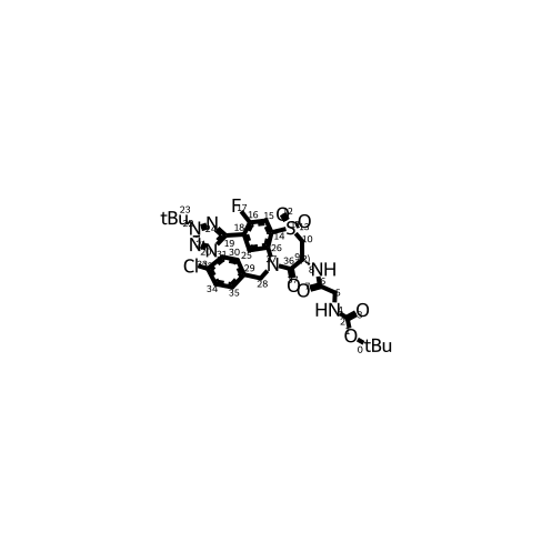 CC(C)(C)OC(=O)NCC(=O)N[C@H]1CS(=O)(=O)c2cc(F)c(-c3nnn(C(C)(C)C)n3)cc2N(Cc2ccc(Cl)cc2)C1=O